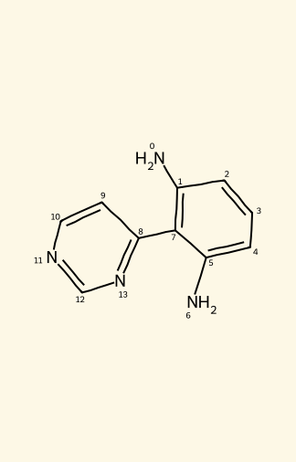 Nc1cccc(N)c1-c1ccncn1